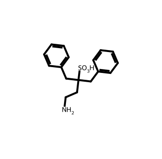 NCCC(Cc1ccccc1)(Cc1ccccc1)S(=O)(=O)O